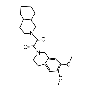 COc1cc2c(cc1OC)CN(C(=O)C(=O)N1CCC3CCCCC3C1)CC2